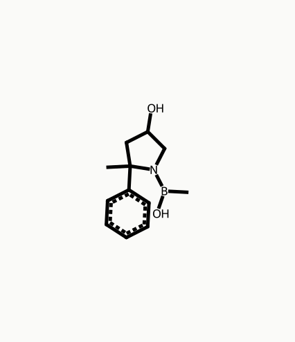 CB(O)N1CC(O)CC1(C)c1ccccc1